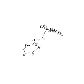 CNC(=O)COC1CCCCO1